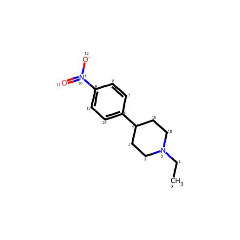 CCN1CCC(c2ccc([N+](=O)[O-])cc2)CC1